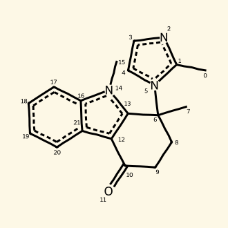 Cc1nccn1C1(C)CCC(=O)c2c1n(C)c1ccccc21